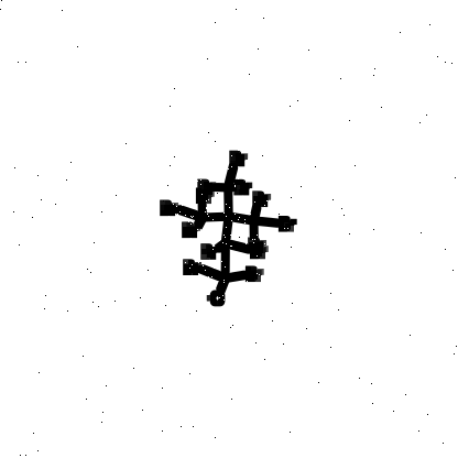 [O]C(Br)(Br)C(Br)(Br)C(C(Br)(Br)Br)(C(Br)(Br)Br)C(Br)(Br)Br